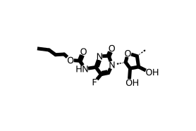 CCCCOC(=O)Nc1nc(=O)n([C@@H]2O[C@H](C)C(O)C2O)cc1F